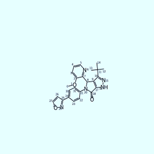 COc1cccnc1C1c2c(C(C)(C)C)n[nH]c2C(=O)N1c1ccc(-c2ccon2)cc1